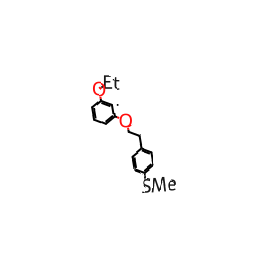 CCOc1[c]c(OCCc2ccc(SC)cc2)ccc1